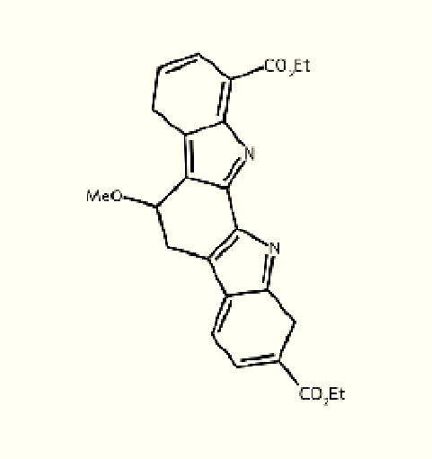 CCOC(=O)C1=CC=C2C(=NC3=C2CC(OC)C2=C4CC=CC(C(=O)OCC)=C4N=C32)C1